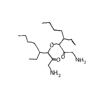 CCCCC(CC)C(OC(C(=O)CN)C(CC)CCCC)C(=O)CN